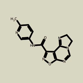 Cc1ccc(NC(=O)c2noc3c2C2=NCCN2C=N3)cn1